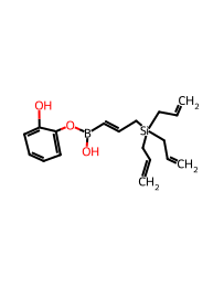 C=CC[Si](CC=C)(CC=C)CC=CB(O)Oc1ccccc1O